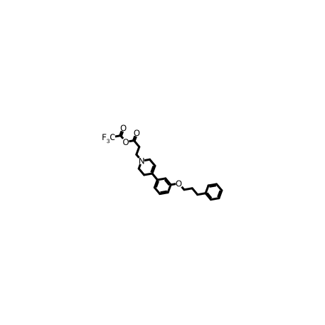 O=C(CCN1CC=C(c2cccc(OCCCc3ccccc3)c2)CC1)OC(=O)C(F)(F)F